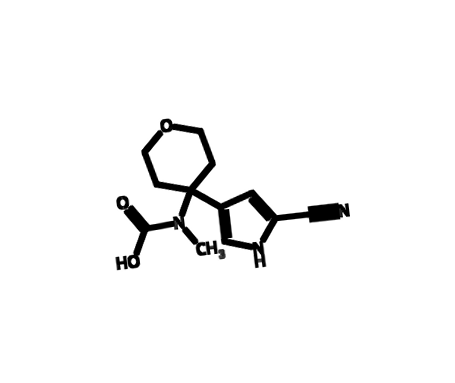 CN(C(=O)O)C1(c2c[nH]c(C#N)c2)CCOCC1